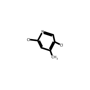 Cc1cc(Cl)ncc1Cl